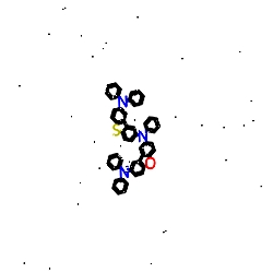 c1ccc(N(c2ccccc2)c2ccc3oc4ccc(N(c5ccccc5)c5ccc6sc7ccc(N(c8ccccc8)c8ccccc8)cc7c6c5)cc4c3c2)cc1